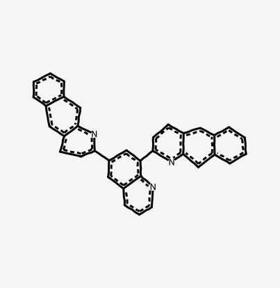 c1ccc2cc3nc(-c4cc(-c5ccc6cc7ccccc7cc6n5)c5ncccc5c4)ccc3cc2c1